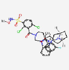 CCONS(=O)(=O)c1ccc(Cl)c(C(=O)N2CCC(CCN3[C@@H]4CC[C@H]3C[C@@H](n3c(C)nc5ccccc53)C4)(c3cccc(F)c3)CC2)c1Cl